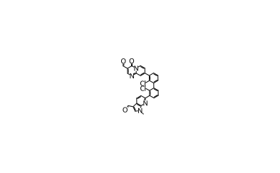 Cn1cc(C=O)c2ccc(-c3cccc(-c4cccc(-c5ccn6c(=O)c(C=O)cnc6c5)c4Cl)c3Cl)nc21